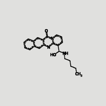 CCCCCNC(O)c1cccn2c(=O)c3cc4ccccc4cc3nc12